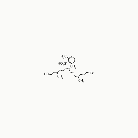 C/C(=C\CO)CCCC(C)CCCC(C)CCCC(C)C.Cc1ccccc1S(=O)(=O)O